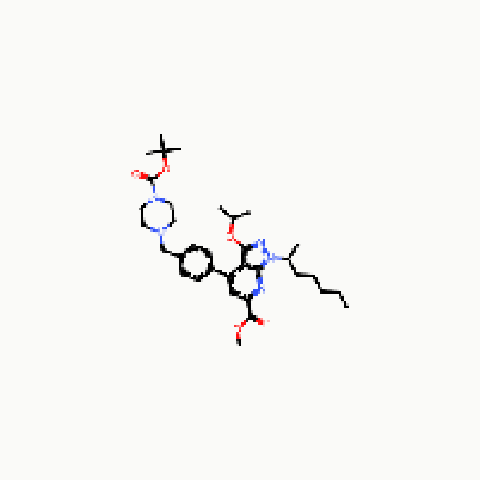 CCCCCC(C)n1nc(OC(C)C)c2c(-c3ccc(CN4CCN(C(=O)OC(C)(C)C)CC4)cc3)cc(C(=O)OC)nc21